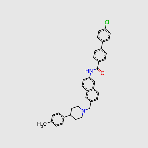 Cc1ccc(C2CCN(Cc3ccc4cc(NC(=O)c5ccc(-c6ccc(Cl)cc6)cc5)ccc4c3)CC2)cc1